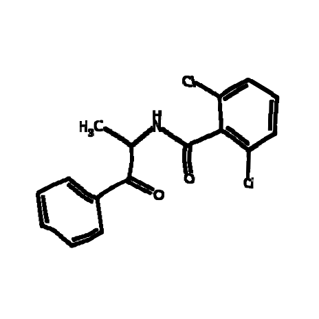 CC(NC(=O)c1c(Cl)cccc1Cl)C(=O)c1ccccc1